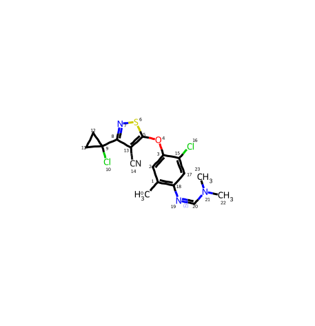 Cc1cc(Oc2snc(C3(Cl)CC3)c2C#N)c(Cl)cc1/N=C\N(C)C